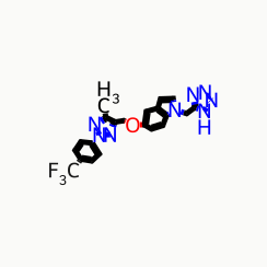 Cc1nn(-c2ccc(C(F)(F)F)cc2)nc1COc1ccc2c(ccn2Cc2nnn[nH]2)c1